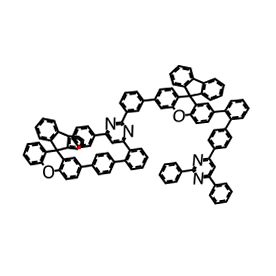 c1ccc(-c2cc(-c3ccc(-c4ccccc4-c4ccc5c(c4)C4(c6ccc(-c7cccc(-c8nc(-c9ccccc9)cc(-c9ccccc9-c9ccc(-c%10ccc%11c(c%10)C%10(c%12ccccc%12O%11)c%11ccccc%11-c%11ccccc%11%10)cc9)n8)c7)cc6O5)c5ccccc5-c5ccccc54)cc3)nc(-c3ccccc3)n2)cc1